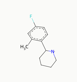 Cc1cc(F)ccc1C1CCCC[N]1